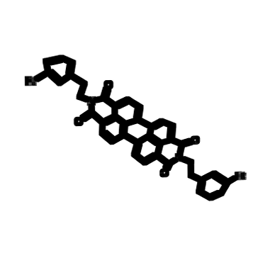 CCc1cccc(CCN2C(=O)c3ccc4c5ccc6c7c(ccc(c8ccc(c3c48)C2=O)c75)C(=O)N(CCc2cccc(CC)c2)C6=O)c1